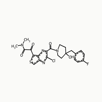 CN(C)C(=O)C(=O)c1scc2nc(Cl)c(C(=O)N3CCC(O)(Cc4ccc(F)cc4)CC3)nc12